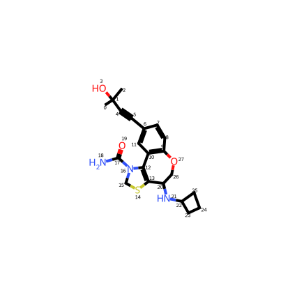 CC(C)(O)C#Cc1ccc2c(c1)C1=C(SCN1C(N)=O)C(NC1CCC1)CO2